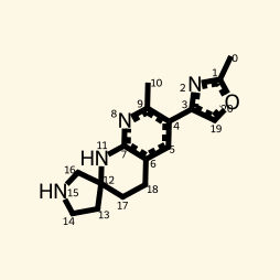 Cc1nc(-c2cc3c(nc2C)NC2(CCNC2)CC3)co1